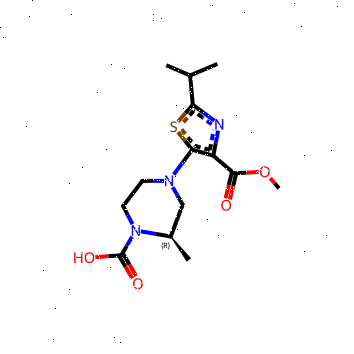 COC(=O)c1nc(C(C)C)sc1N1CCN(C(=O)O)[C@H](C)C1